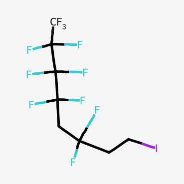 FC(F)(CCI)CC(F)(F)C(F)(F)C(F)(F)C(F)(F)F